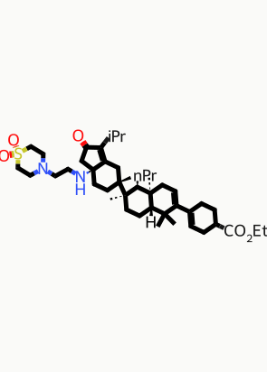 CCC[C@@H]1[C@@]2(C)CC=C(C3=CCC(C(=O)OCC)CC3)C(C)(C)[C@@H]2CC[C@@]1(C)[C@]1(C)CC[C@@]2(NCCN3CCS(=O)(=O)CC3)CC(=O)C(C(C)C)=C2C1